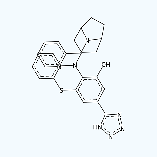 Oc1cc(-c2nnn[nH]2)cc2c1N(C1CC3CCC(C1)N3Cc1ccccn1)c1ccccc1S2